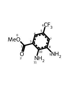 COC(=O)c1cc(C(F)(F)F)cc(N)c1N